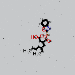 CCCCC(CC)CC(CC(=O)O)C(=O)OSc1nc2ccccc2o1